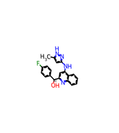 Cc1cc(Nc2cc([C@@H](O)c3ccc(F)cc3)nc3ccccc23)n[nH]1